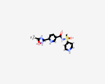 CS(=O)(=NC(=O)c1ccc(-c2noc(C(F)(F)F)n2)nc1)c1ccncc1